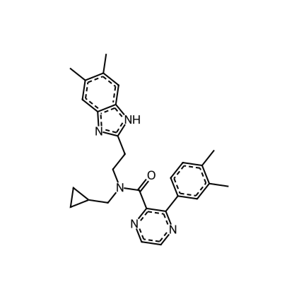 Cc1ccc(-c2nccnc2C(=O)N(CCc2nc3cc(C)c(C)cc3[nH]2)CC2CC2)cc1C